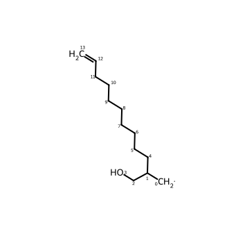 [CH2]C(CO)CCCCCCCCC=C